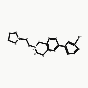 Fc1cccc(-c2ccc3c(c2)CCN(CCN2CCCC2)C3)c1